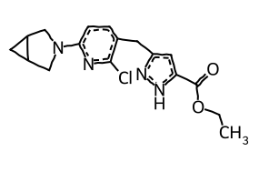 CCOC(=O)c1cc(Cc2ccc(N3CC4CC4C3)nc2Cl)n[nH]1